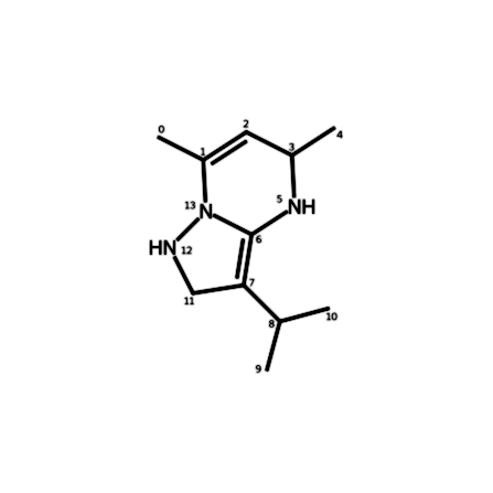 CC1=CC(C)NC2=C(C(C)C)CNN12